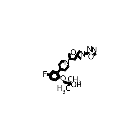 CC(C)(O)COc1ccc(F)cc1C1CCN(C2COC3(C2)CN(c2nnco2)C3)CC1